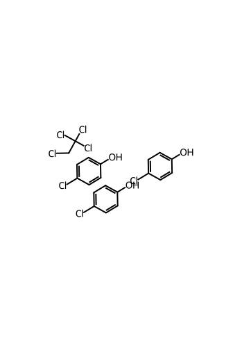 ClCC(Cl)(Cl)Cl.Oc1ccc(Cl)cc1.Oc1ccc(Cl)cc1.Oc1ccc(Cl)cc1